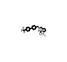 CCN1CCCC1CNCc1ccc(-c2ccc(C(F)(F)F)cc2)cc1